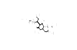 CCCC(NOCC)=C1C(=O)CC(CC(C)[S+]([O-])CC)C(C)C1=O